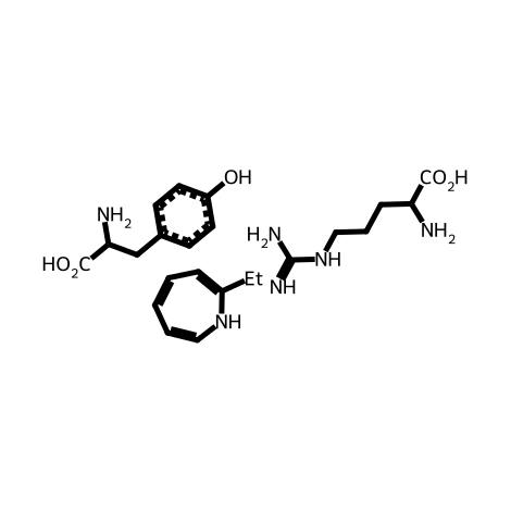 CCC1=CC=CC=CN1.N=C(N)NCCCC(N)C(=O)O.NC(Cc1ccc(O)cc1)C(=O)O